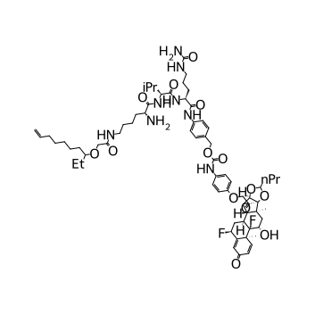 C=CCCCCCC(CC)OCC(=O)NCCCC[C@H](N)C(=O)N[C@H](C(=O)N[C@@H](CCCNC(N)=O)C(=O)Nc1ccc(COC(=O)Nc2ccc(OCC(=O)[C@@]34OC(CCC)O[C@@H]3C[C@H]3[C@@H]5C[C@H](F)C6=CC(=O)C=C[C@]6(C)[C@@]5(F)[C@@H](O)C[C@@]34C)cc2)cc1)C(C)C